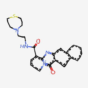 O=C(NCCN1CCSCC1)c1cccn2c(=O)c3cc4ccccc4cc3nc12